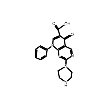 O=C(O)c1cn(-c2ccccc2)c2nc(N3CCNCC3)ncc2c1=O